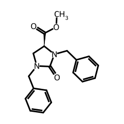 COC(=O)[C@@H]1CN(Cc2ccccc2)C(=O)N1Cc1ccccc1